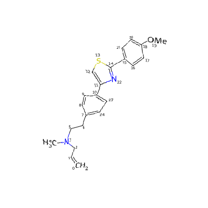 C=CCN(C)CCc1ccc(-c2csc(-c3ccc(OC)cc3)n2)cc1